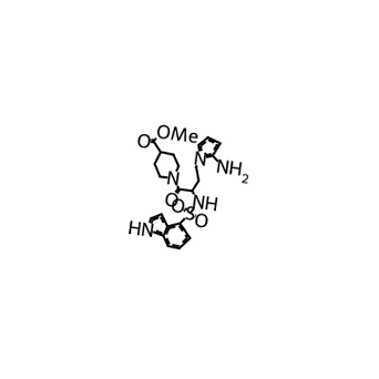 COC(=O)C1CCN(C(=O)C(CCn2cccc2N)NS(=O)(=O)c2cccc3[nH]ccc23)CC1